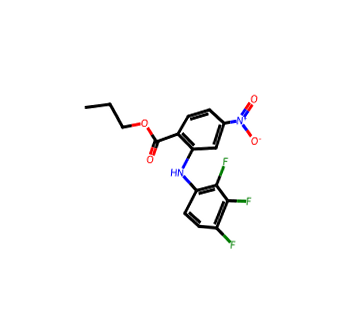 CCCOC(=O)c1ccc([N+](=O)[O-])cc1Nc1ccc(F)c(F)c1F